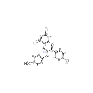 Cc1ccc(S/C(=C/c2ccc(Cl)cc2Cl)C(=O)c2ccc(Cl)cc2)cc1